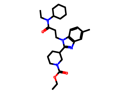 CCOC(=O)N1CCCC(c2nc3cc(C)ccc3n2CCC(=O)N(CC)C2CCCCC2)C1